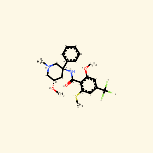 COc1cc(C(F)(F)F)cc(SC)c1C(=O)N[C@@]1(c2ccccc2)C[C@H](OC)CN(C)C1